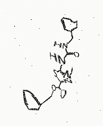 O=C(NCc1ccccc1)Nc1nnc(C(=O)OCc2ccccc2)s1